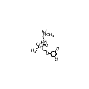 CC(C)N(CCOc1cc(Cl)cc(Cl)c1)C(=O)NCCN(C)C